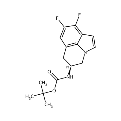 CC(C)(C)OC(=O)N[C@H]1Cc2cc(F)c(F)c3ccn(c23)C1